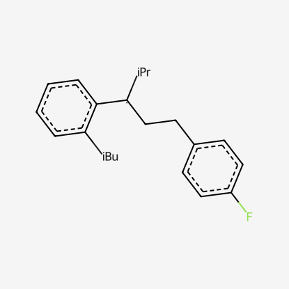 CCC(C)c1ccccc1[C](CCc1ccc(F)cc1)C(C)C